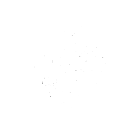 CC(C)c1cccc(C(C)C)c1-c1cc2c([Si](c3ccccc3)(c3ccccc3)c3ccccc3)ccc3c4cc(-c5c(C(C)C)cccc5C(C)C)cc5c([Si](c6ccccc6)(c6ccccc6)c6ccccc6)ccc(c(c1)c23)c54